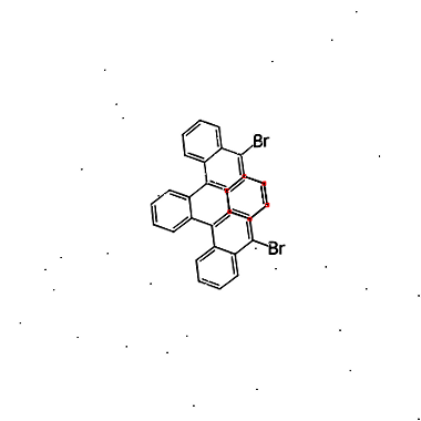 Brc1c2ccccc2c(-c2ccccc2-c2c3ccccc3c(Br)c3ccccc23)c2ccccc12